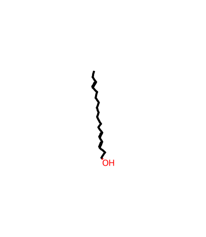 CC/C=C/CCCCCCCC/C=C/C=C/CCO